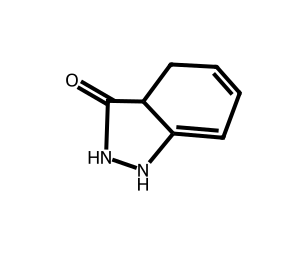 O=C1NNC2=CC=CCC12